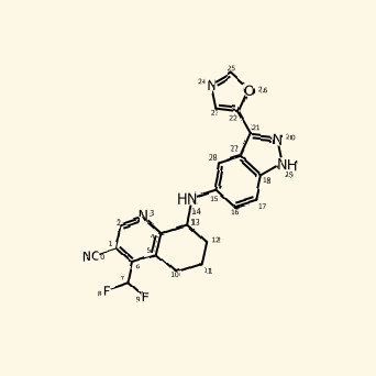 N#Cc1cnc2c(c1C(F)F)CCCC2Nc1ccc2[nH]nc(-c3cnco3)c2c1